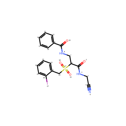 N#CCNC(=O)C(CNC(=O)c1ccccc1)S(=O)(=O)Cc1ccccc1I